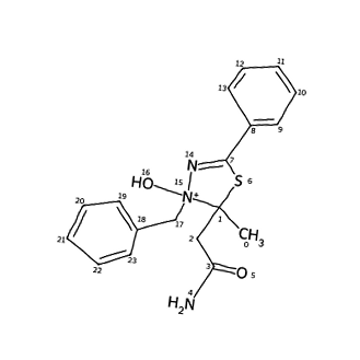 CC1(CC(N)=O)SC(c2ccccc2)=N[N+]1(O)Cc1ccccc1